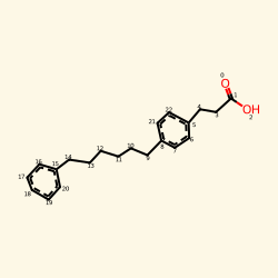 O=C(O)CCc1ccc(CCCCCCc2ccccc2)cc1